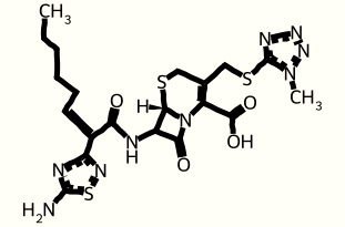 CCCCC/C=C(\C(=O)NC1C(=O)N2C(C(=O)O)=C(CSc3nnnn3C)CS[C@@H]12)c1nsc(N)n1